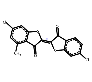 Cc1cc(Cl)cc2c1C(=O)/C(=C1\Sc3cc(Cl)ccc3C1=O)S2